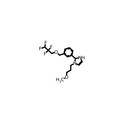 COCCCN1C=CNC1c1cccc(COCC(F)(F)C(F)F)c1